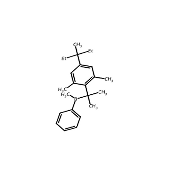 CCC(C)(CC)c1cc(C)c(C(C)(C)B(C)c2ccccc2)c(C)c1